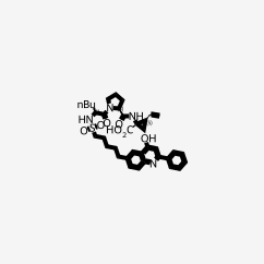 C=C[C@@H]1C[C@]1(NC(=O)[C@@H]1CCCN1C(=O)[C@H](CCCC)NS(=O)(=O)CCCCCc1ccc2nc(-c3ccccc3)cc(O)c2c1)C(=O)O